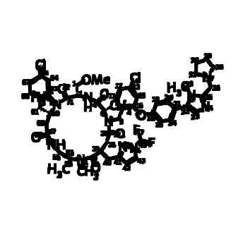 COC[C@@H]1NC(=O)[C@H](C)N(Cc2ccc(Cl)cc2Oc2ccc(-c3cnc(CN4CCCC4)n3C)cc2)C(=O)CC(Cc2ccn(C(F)F)n2)C(=O)N(C)[C@@H](C)CNC(=O)C[C@H](Cc2ccc(Cl)cc2)N(C)C1=O